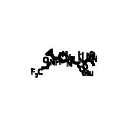 Cc1nonc1C(=O)N[C@@H](COC(C)(C)C)c1cn2ncc(C(NC(=O)CCC(F)(F)F)C3CC3)cc2n1